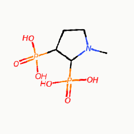 CN1CCC(P(=O)(O)O)C1P(=O)(O)O